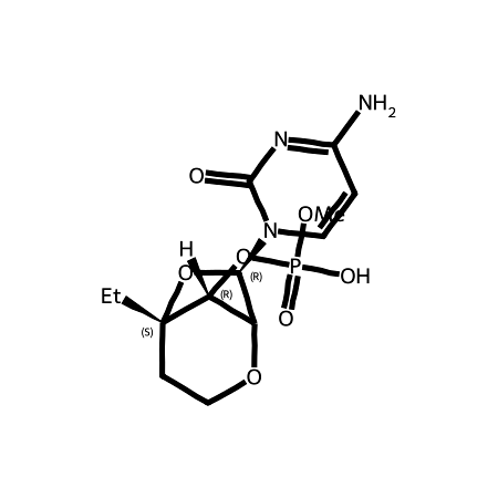 CC[C@@]12CCOC([C@H](n3ccc(N)nc3=O)O1)[C@H]2OP(=O)(O)OC